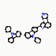 c1ccc(-n2c3ccccc3c3cc(-c4ccc5c(c4)c4ccc(-c6cc7c8c(cccc8n6)-c6ccncc6-7)cc4n5-c4ccccc4)ccc32)cc1